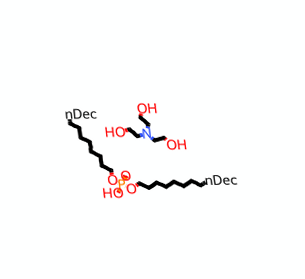 CCCCCCCCCCCCCCCCCCOP(=O)(O)OCCCCCCCCCCCCCCCCCC.OCCN(CCO)CCO